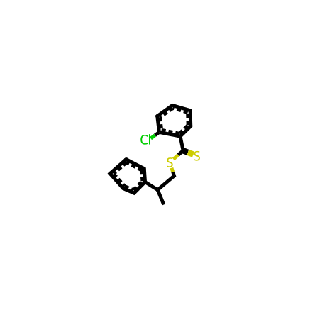 CC(CSC(=S)c1ccccc1Cl)c1ccccc1